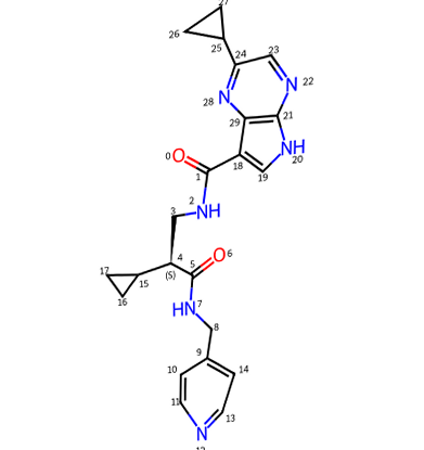 O=C(NC[C@@H](C(=O)NCc1ccncc1)C1CC1)c1c[nH]c2ncc(C3CC3)nc12